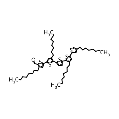 CCCCCCCCc1csc(-c2cc(CCCCCCCC)c(-c3ccc(-c4sc(-c5cc(CCCCCCCC)c(C=O)s5)cc4CCCCCCCC)s3)s2)c1